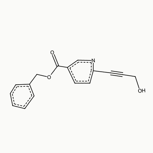 O=C(OCc1ccccc1)c1ccc(C#CCO)nc1